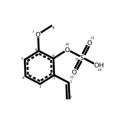 C=Cc1cccc(OC)c1OS(=O)(=O)O